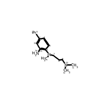 CC(C)c1ccc(N(C)CCCN(C)C)c(N)c1